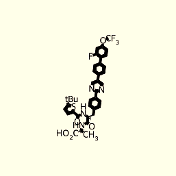 C[C@@H](NC(=O)[C@H](Cc1ccc(-c2ncc(-c3ccc(-c4ccc(OC(F)(F)F)cc4F)cc3)cn2)cc1)NC(=O)c1ccc(C(C)(C)C)s1)C(=O)O